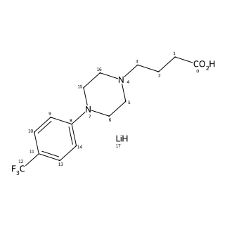 O=C(O)CCCN1CCN(c2ccc(C(F)(F)F)cc2)CC1.[LiH]